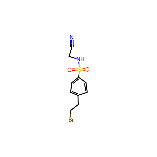 N#CCNS(=O)(=O)c1ccc(CCBr)cc1